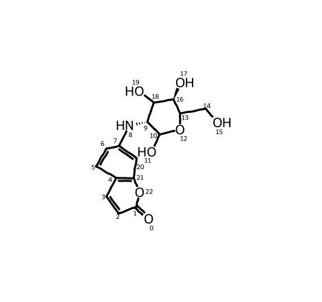 O=c1ccc2ccc(N[C@H]3C(O)OC(CO)[C@H](O)C3O)cc2o1